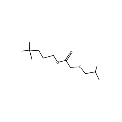 CC(C)COCC(=O)OCCCC(C)(C)C